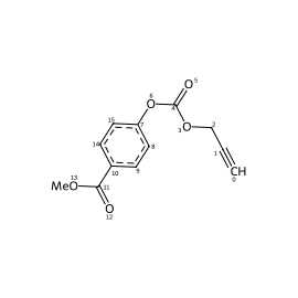 C#CCOC(=O)Oc1ccc(C(=O)OC)cc1